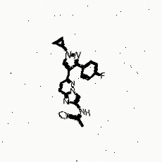 CC(=O)Nc1cn2nc(-c3cn(C4CC4)nc3-c3ccc(F)cc3)ccc2n1